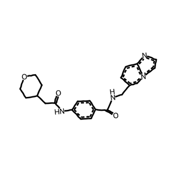 O=C(CC1CCOCC1)Nc1ccc(C(=O)NCc2ccc3nccn3c2)cc1